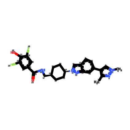 Cc1nn(C)cc1-c1ccc2cn([C@H]3CC[C@H](CNC(=O)c4cc(F)c(O)c(F)c4)CC3)nc2c1